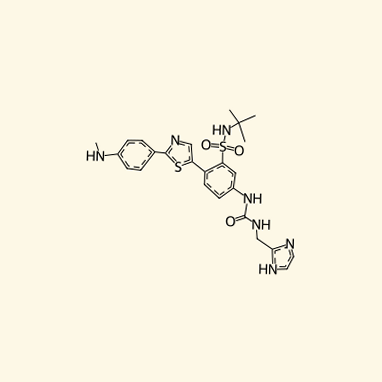 CNc1ccc(-c2ncc(-c3ccc(NC(=O)NCc4ncc[nH]4)cc3S(=O)(=O)NC(C)(C)C)s2)cc1